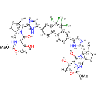 COC(=O)N[C@H](C(=O)N1[C@@H]2CC[C@@H](C2)[C@H]1c1ncc(-c2ccc3c(c2)C(F)(F)C(F)(F)c2cc(-c4cnc([C@@H]5[C@H]6CC[C@H](C6)N5C(=O)[C@@H](NC(=O)OC)[C@@H](C)O)[nH]4)ccc2-3)[nH]1)[C@@H](C)O